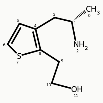 C[C@H](N)Cc1ccsc1CCO